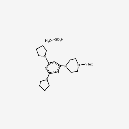 CCCCCCN1CCN(c2cc(N3CCCC3)nc(N3CCCC3)n2)CC1.CS(=O)(=O)O